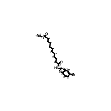 CC(C)(C)OC(=O)CCCCCCCCCCC(=O)Nc1nc2ccc(Br)cc2s1